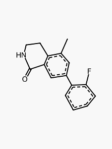 Cc1cc(-c2ccccc2F)cc2c1CCNC2=O